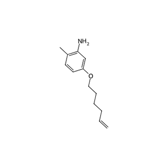 C=CCCCCOc1ccc(C)c(N)c1